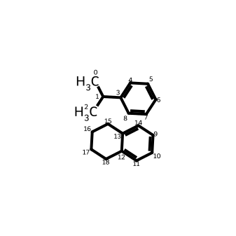 CC(C)c1ccccc1.c1ccc2c(c1)CCCC2